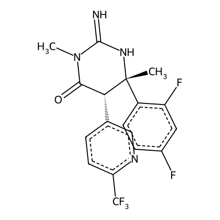 CN1C(=N)N[C@](C)(c2ccc(F)cc2F)[C@H](c2ccc(C(F)(F)F)nc2)C1=O